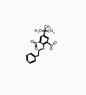 CC(C)(C)c1cc([N+](=O)[O-])c(SCCc2ccccc2)c([N+](=O)[O-])c1